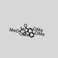 COc1cccc2c3c(cc(OC)c12)C(=O)N(C(C)C(OC)OC)C3=O